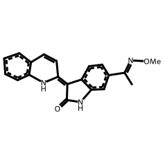 CON=C(C)c1ccc2c(c1)NC(=O)C2=C1C=Cc2ccccc2N1